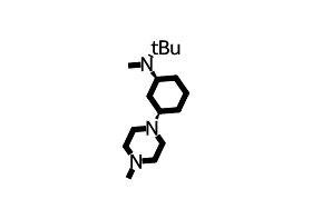 CN1CCN([C@H]2CCC[C@H](N(C)C(C)(C)C)C2)CC1